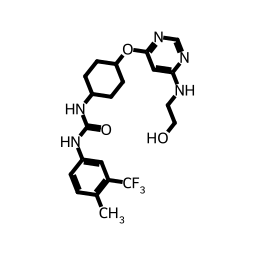 Cc1ccc(NC(=O)NC2CCC(Oc3cc(NCCO)ncn3)CC2)cc1C(F)(F)F